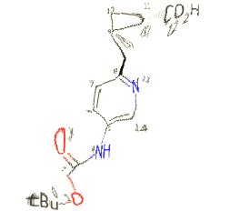 CC(C)(C)OC(=O)Nc1ccc([C@H]2C[C@@H]2C(=O)O)nc1